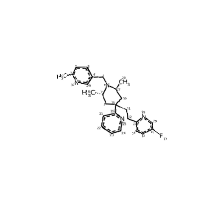 Cc1ccc(CN2[C@@H](C)CC(CCc3ccc(F)cn3)(c3ccccn3)C[C@@H]2C)cn1